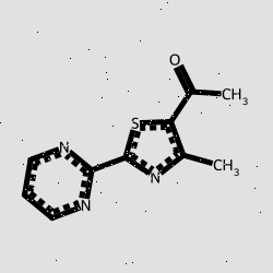 CC(=O)c1sc(-c2ncccn2)nc1C